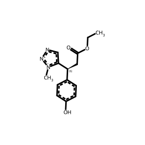 CCOC(=O)C[C@@H](c1ccc(O)cc1)c1cnnn1C